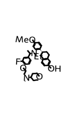 CCN(c1cc(OC)ccc1[C@@H]1CCc2cc(O)ccc2C1)C(C)c1ccc(OCCN(C)C2CCOCC2)c(F)c1